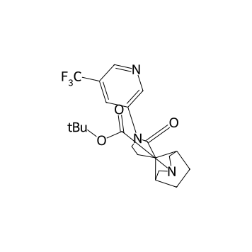 CC(C)(C)OC(=O)N1CC2CCC(C1)C21CCN(c2cncc(C(F)(F)F)c2)C1=O